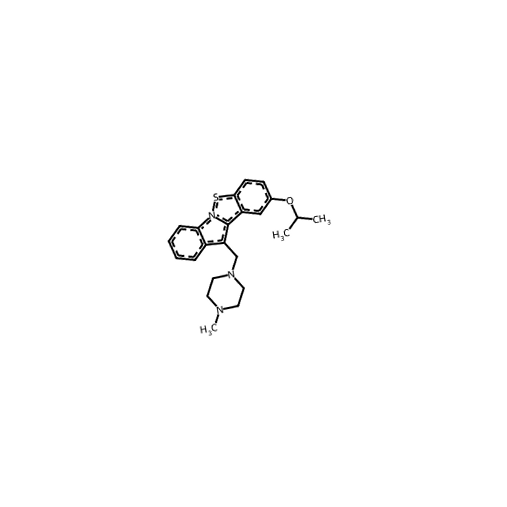 CC(C)Oc1ccc2sn3c4ccccc4c(CN4CCN(C)CC4)c3c2c1